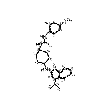 Cc1cc([N+](=O)[O-])ccc1NC(=O)NC1CCC(Nc2nc(N(C)C)c3ccccc3n2)CC1